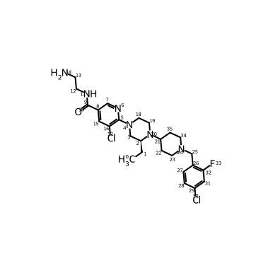 CC[C@H]1CN(c2ncc(C(=O)NCCN)cc2Cl)CCN1C1CCN(Cc2ccc(Cl)cc2F)CC1